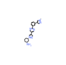 Cn1cc(-c2cccc(-c3ncc(-c4cnn([C@H]5CCC[C@H](N)C5)c4)cn3)c2)cn1